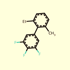 CCc1cccc(C)c1-c1cc(F)c(F)c(F)c1